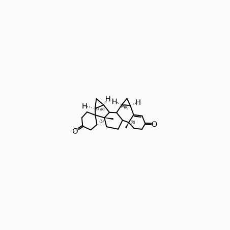 C[C@]12CCC(=O)C=C1[C@@H]1C[C@@H]1C1C2CC[C@@]2(C)C1[C@@H]1C[C@@H]1C21CCC(=O)CC1